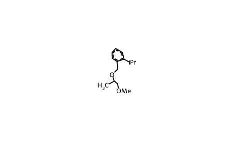 COCC(C)OCc1ccccc1C(C)C